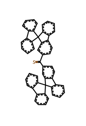 S=C(c1ccc2c(c1)C1(c3ccccc3-c3ccccc31)c1ccccc1-2)c1ccc2c(c1)C1(c3ccccc3-c3ccccc31)c1ccccc1-2